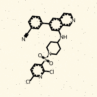 N#Cc1cccc(-c2cc(NC3CCN(S(=O)(=O)c4ccc(Cl)nc4Cl)CC3)c3cnccc3c2)c1